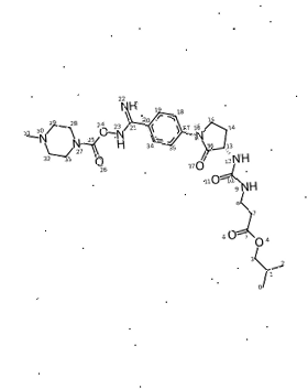 CC(C)COC(=O)CCNC(=O)N[C@H]1CCN(c2ccc(C(=N)NOC(=O)N3CCN(C)CC3)cc2)C1=O